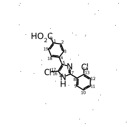 O=C(O)c1ccc(-c2nc(-c3ccccc3Cl)[nH]c2Cl)cc1